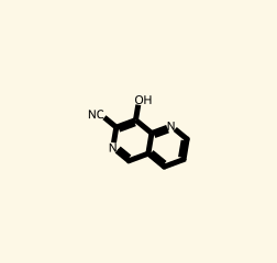 N#Cc1ncc2cccnc2c1O